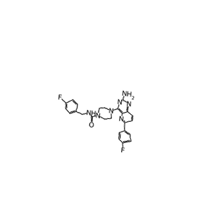 Nc1nc(N2CCN(C(=O)NCc3ccc(F)cc3)CC2)c2nc(-c3ccc(F)cc3)ccc2n1